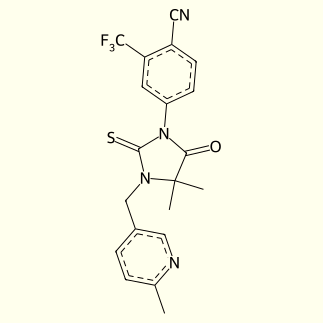 Cc1ccc(CN2C(=S)N(c3ccc(C#N)c(C(F)(F)F)c3)C(=O)C2(C)C)cn1